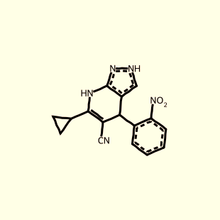 N#CC1=C(C2CC2)Nc2n[nH]cc2C1c1ccccc1[N+](=O)[O-]